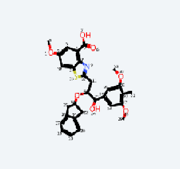 COc1cc(C(=O)O)c2nc(CC(OC3Cc4ccccc4C3)C(O)c3cc(OC)c(C)c(OC)c3)sc2c1